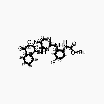 CC(C)(C)OC(=O)Nc1ccc(F)cc1Nc1ncc([N+](=O)[O-])c(NC2CCC(=O)c3ccccc32)n1